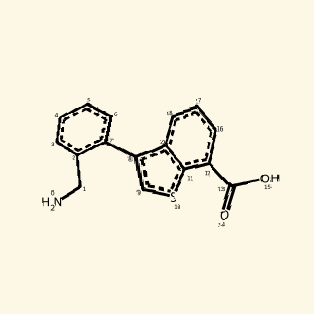 NCc1ccccc1-c1csc2c(C(=O)O)cccc12